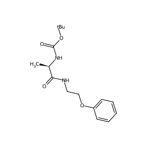 C[C@@H](NC(=O)OC(C)(C)C)C(=O)NCCOc1ccccc1